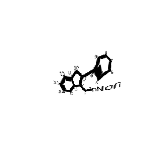 CCCCCCCCCCC1=C(c2ccccc2)[CH]c2ccccc21